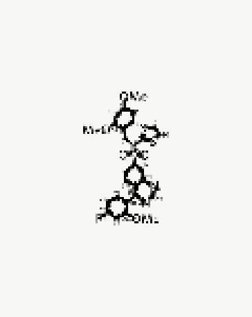 COc1ccc(CN(c2nccs2)S(=O)(=O)c2ccc3c(-c4ccc(F)cc4OC)ncnc3c2)c(OC)c1